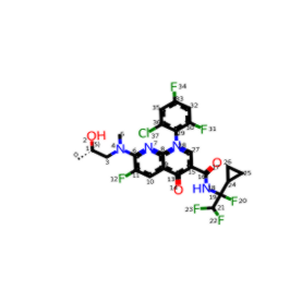 C[C@H](O)CN(C)c1nc2c(cc1F)c(=O)c(C(=O)NC(F)(C(F)F)C1CC1)cn2-c1c(F)cc(F)cc1Cl